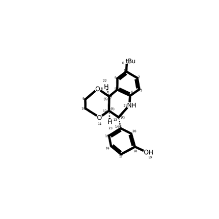 CC(C)(C)c1ccc2c(c1)[C@@H]1OCCO[C@@H]1[C@@H](c1cccc(O)c1)N2